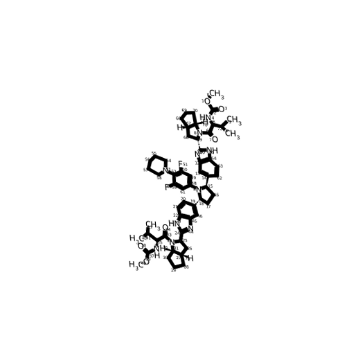 COC(=O)NC(C(=O)N1[C@H](c2nc3cc([C@H]4CC[C@H](c5ccc6[nH]c(C7C[C@@H]8CCC[C@@H]8N7C(=O)[C@@H](NC(=O)OC)C(C)C)nc6c5)N4c4cc(F)c(N5CCCCC5)c(F)c4)ccc3[nH]2)C[C@@H]2CCC[C@@H]21)C(C)C